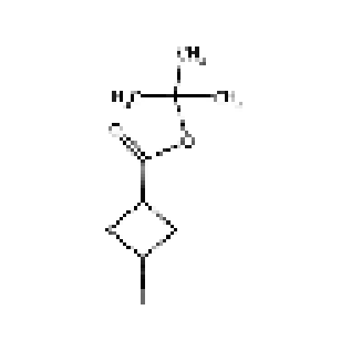 CC(C)(C)OC(=O)C1CC(I)C1